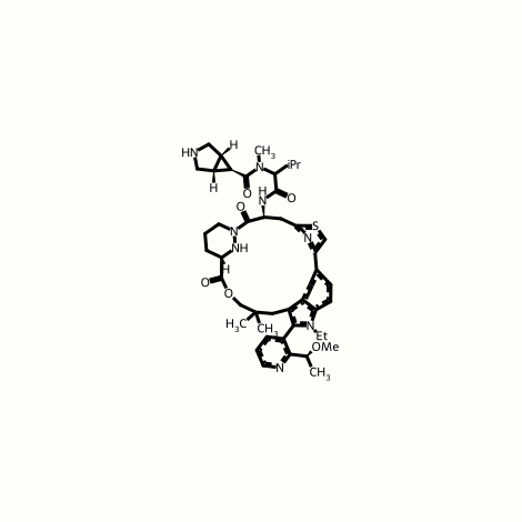 CCn1c(-c2cccnc2[C@H](C)OC)c2c3cc(ccc31)-c1csc(n1)C[C@H](NC(=O)C(C(C)C)N(C)C(=O)[C@H]1[C@@H]3CNC[C@@H]31)C(=O)N1CCC[C@H](N1)C(=O)OCC(C)(C)C2